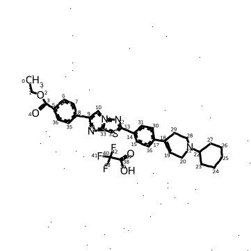 CCOC(=O)c1ccc(-c2cn3nc(-c4ccc(C5=CCN(C6CCCCC6)CC5)cc4)sc3n2)cc1.O=C(O)C(F)(F)F